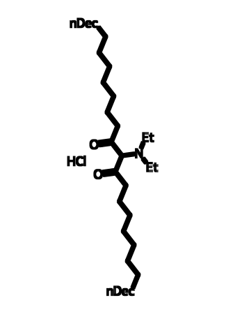 CCCCCCCCCCCCCCCCCC(=O)C(C(=O)CCCCCCCCCCCCCCCCC)N(CC)CC.Cl